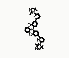 CC1=NCC(C)(C)N1c1cccc(-c2ccc3c(c2)Oc2cccc4c2B3c2ccc(-c3cccc(N5C(C)=NCC5(C)C)n3)cc2O4)n1